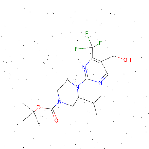 CC(C)C1CN(C(=O)OC(C)(C)C)CCN1c1ncc(CO)c(C(F)(F)F)n1